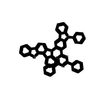 c1ccc(-c2nc(-c3ccccc3)nc(-c3cc4c(cc3-n3c5ccccc5c5c6oc7ccccc7c6ccc53)c3ccccc3n4-c3ccccc3)n2)cc1